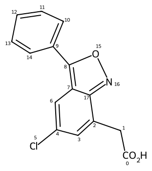 O=C(O)Cc1cc(Cl)cc2c(-c3ccccc3)onc12